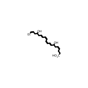 CC/C=C\CC(O)C/C=C/C=C\C=C/C=C/C(O)C/C=C\CCC(=O)O